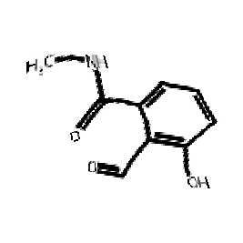 CNC(=O)c1cccc(O)c1C=O